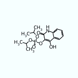 CC(C)OP(=O)(Oc1c(O)c2ccccc2[nH]c1=O)OC(C)C